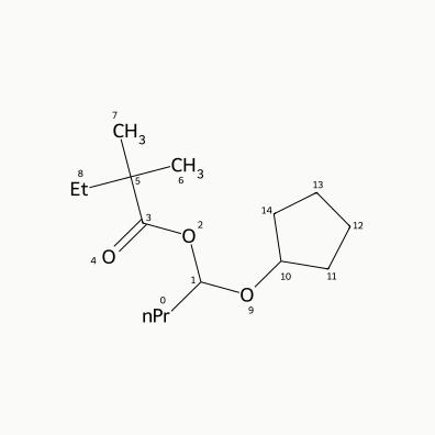 CCCC(OC(=O)C(C)(C)CC)OC1CCCC1